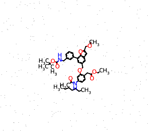 CCCCCCC.CCOC(=O)Cc1ccc(NC(C)=O)cc1OCc1cc(-c2cccc(CNC(=O)OC(C)(C)C)c2)c2oc(COC)cc2c1